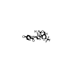 CN1C(NC(=O)c2ccc(Cl)cn2)=CSC1[C@]12CO[C@@H](C(F)(F)F)C[C@H]1COC(N)=N2